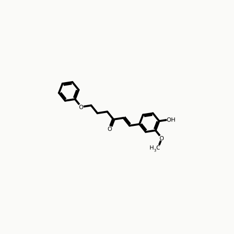 COc1cc(C=CC(=O)CCCOc2ccccc2)ccc1O